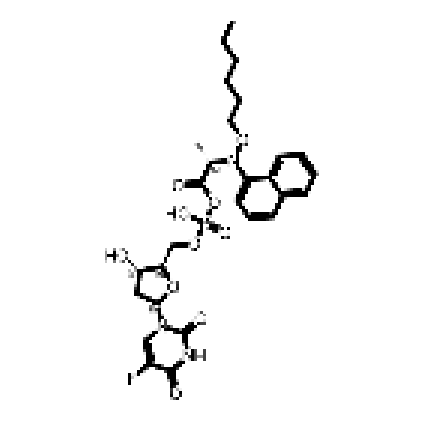 CCCCCCON(c1cccc2ccccc12)[C@@H](C)C(=O)OP(=O)(O)OC[C@H]1O[C@@H](n2cc(F)c(=O)[nH]c2=O)C[C@@H]1O